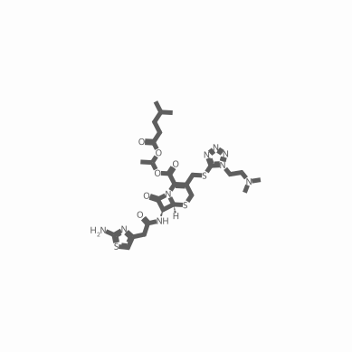 CC(C)CCC(=O)OC(C)OC(=O)C1=C(CSc2nnnn2CCN(C)C)CS[C@H]2[C@H](NC(=O)Cc3csc(N)n3)C(=O)N12